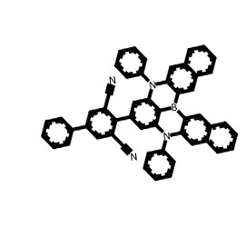 N#Cc1cc(-c2ccccc2)cc(C#N)c1-c1cc2c3c(c1)N(c1ccccc1)c1cc4ccccc4cc1B3c1cc3ccccc3cc1N2c1ccccc1